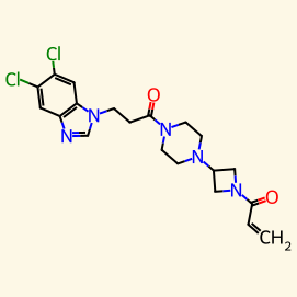 C=CC(=O)N1CC(N2CCN(C(=O)CCn3cnc4cc(Cl)c(Cl)cc43)CC2)C1